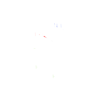 NC[C@H](O)c1ccc(F)c(F)c1F